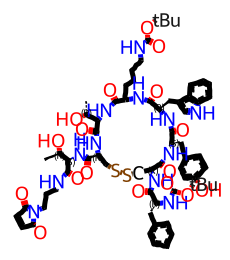 C[C@@H](O)C1NC(=O)C(CCCCNC(=O)OC(C)(C)C)NC(=O)[C@@H](Cc2c[nH]c3ccccc23)NC(=O)[C@H](Cc2ccc(O)cc2)NC(=O)[C@@H](NC(=O)[C@@H](Cc2ccccc2)NC(=O)OC(C)(C)C)CSSC[C@@H](C(=O)N[C@H](C(=O)NCCCN2C(=O)C=CC2=O)[C@@H](C)O)NC1=O